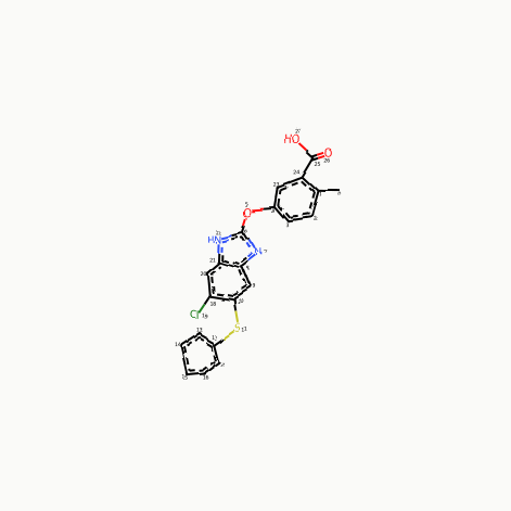 Cc1ccc(Oc2nc3cc(Sc4ccccc4)c(Cl)cc3[nH]2)cc1C(=O)O